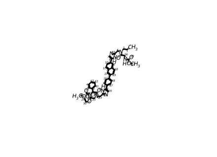 CCCN(Cc1ncc(-c2ccc3cc(-c4ccc(-c5cnc(CN(CC6(C)OCCO6)C(=O)C(NC(=O)OC)c6ccccc6)[nH]5)cc4)ccc3c2)[nH]1)C(=O)CNC(=O)OC